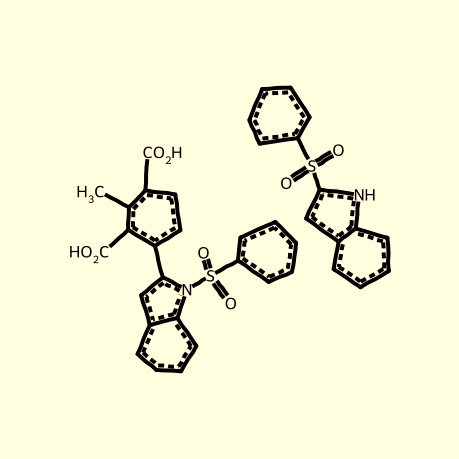 Cc1c(C(=O)O)ccc(-c2cc3ccccc3n2S(=O)(=O)c2ccccc2)c1C(=O)O.O=S(=O)(c1ccccc1)c1cc2ccccc2[nH]1